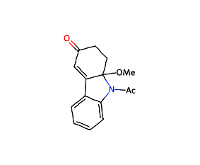 COC12CCC(=O)C=C1c1ccccc1N2C(C)=O